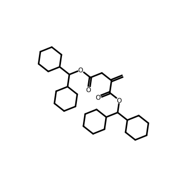 C=C(CC(=O)OC(C1CCCCC1)C1CCCCC1)C(=O)OC(C1CCCCC1)C1CCCCC1